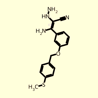 CSc1ccc(COc2cccc(/C(N)=C(\C#N)NN)c2)cc1